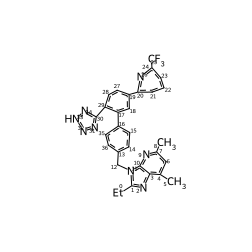 CCc1nc2c(C)cc(C)nc2n1Cc1ccc(-c2cc(-c3cccc(C(F)(F)F)n3)ccc2-c2nn[nH]n2)cc1